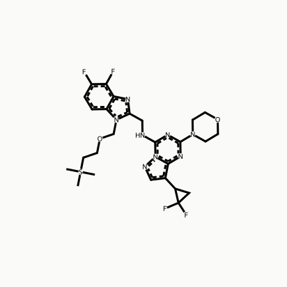 CS(C)(C)CCOCn1c(CNc2nc(N3CCOCC3)nc3c(C4CC4(F)F)cnn23)nc2c(F)c(F)ccc21